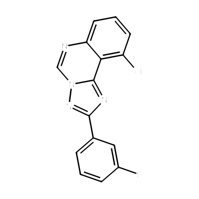 Fc1cccc(-c2nc3c4c(Cl)cccc4ncn3n2)c1